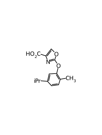 Cc1ccc(C(C)C)cc1Oc1nc(C(=O)O)co1